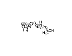 CC(O)N1CCN(CC(=O)Nc2cc(Oc3ccc4c(c3)nc(Nc3cc(C(F)(F)F)ccc3F)n4C)ccn2)CC1